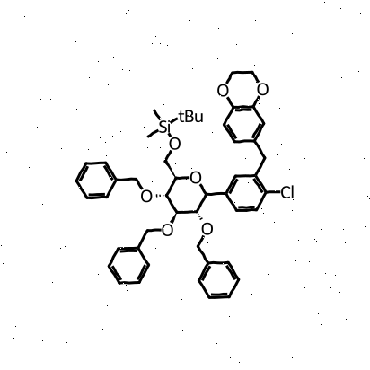 CC(C)(C)[Si](C)(C)OC[C@H]1OC(c2ccc(Cl)c(Cc3ccc4c(c3)OCCO4)c2)[C@H](OCc2ccccc2)[C@@H](OCc2ccccc2)[C@@H]1OCc1ccccc1